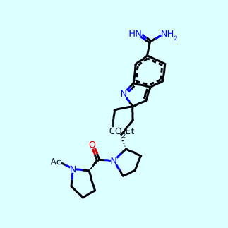 CCOC(=O)CC1(CC[C@@H]2CCCN2C(=O)[C@H]2CCCN2C(C)=O)C=c2ccc(C(=N)N)cc2=N1